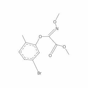 CO/N=C(\Oc1cc(Br)ccc1C)C(=O)OC